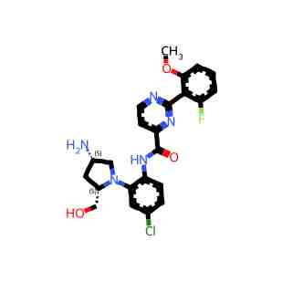 COc1cccc(F)c1-c1nccc(C(=O)Nc2ccc(Cl)cc2N2C[C@@H](N)C[C@H]2CO)n1